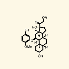 COc1ccc(S)cc1.C[C@]12CC[C@@H](O)C[C@H]1CC[C@@H]1[C@@H]2C(=O)C[C@@]2(C)[C@H]1CC[C@]2(O)C(=O)CO